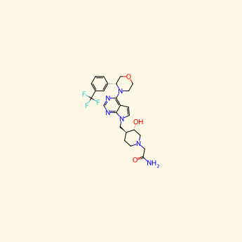 NC(=O)CN1CC[C@@H](Cn2ccc3c(N4CCOC[C@H]4c4cccc(C(F)(F)F)c4)ncnc32)[C@H](O)C1